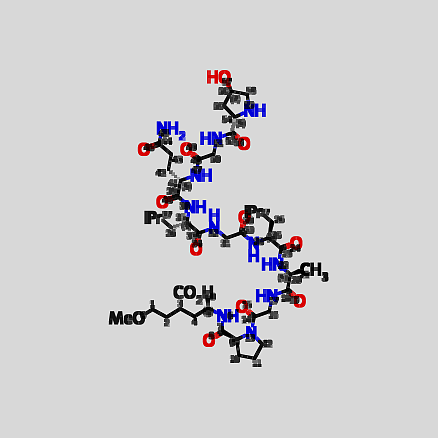 COCCCC[C@H](NC(=O)[C@@H]1CCCN1C(=O)CNC(=O)[C@H](C)NC(=O)[C@H](CC(C)C)NC(=O)CNC(=O)[C@H](CC(C)C)NC(=O)[C@H](CCC(N)=O)NC(=O)CNC(=O)[C@@H]1C[C@@H](O)CN1)C(=O)O